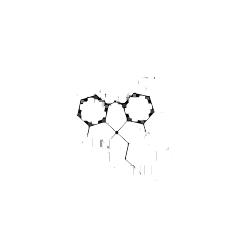 Cc1cccc(C)c1C(N)(CCN)c1c(C)cccc1C.[Cl-].[Cl-].[Ti+2]